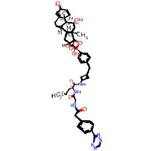 C[C@]12C=CC(=O)C=C1CC[C@@H]1[C@@H]2[C@@H](O)C[C@@]2(C)[C@H]1C[C@H]1O[C@H](c3ccc(CC45CC(NC(=O)[C@H](CCC(=O)O)NC(=O)CNC(=O)Cc6ccc(-c7nncnn7)cc6)(C4)C5)cc3)O[C@]12C(=O)CO